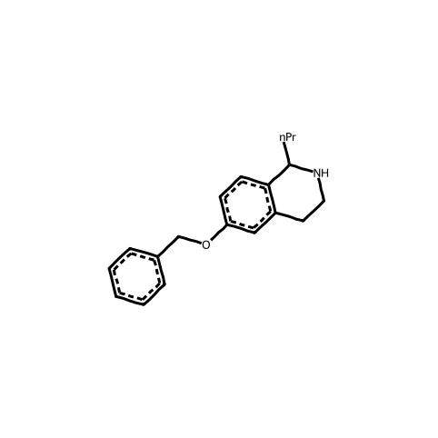 CCCC1NCCc2cc(OCc3ccccc3)ccc21